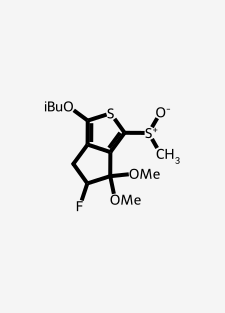 COC1(OC)c2c([S+](C)[O-])sc(OCC(C)C)c2CC1F